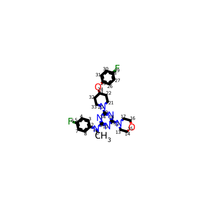 CN(c1ccc(F)cc1)c1nc(N2CCOCC2)nc(N2CCC(Oc3ccc(F)cc3)CC2)n1